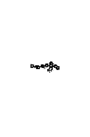 C=Cc1c(C=C)c(-c2ccc3c(c2)oc2cc(-c4ccc5oc(-c6ccccc6)cc5c4)ccc23)c2ccccc2c1-c1ccc2ccccc2c1